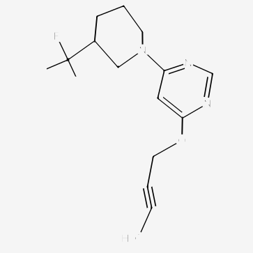 CC#CCOc1cc(N2CCCC(C(F)(F)F)C2)ncn1